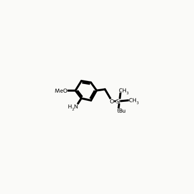 COc1ccc(CO[Si](C)(C)C(C)(C)C)cc1N